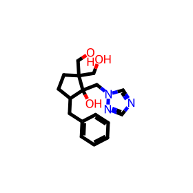 OCC1(CO)CCC(Cc2ccccc2)C1(O)Cn1cncn1